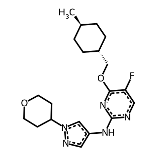 C[C@H]1CC[C@H](COc2nc(Nc3cnn(C4CCOCC4)c3)ncc2F)CC1